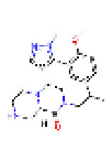 COc1ccc(C(C)CN2CCN3CCNC[C@@H]3C2=O)cc1-c1ccnn1C